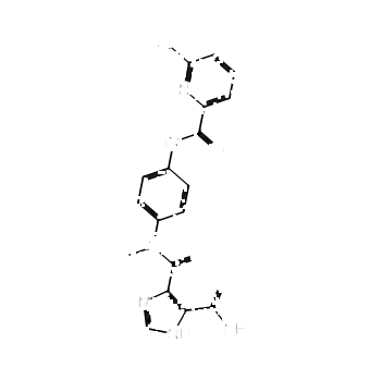 CN(C(=O)c1nc[nH]c1C(N)=O)c1ccc(NC(=O)c2cccc(Cl)n2)cc1